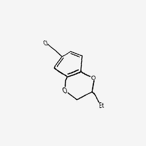 CCC1COc2cc(Cl)ccc2O1